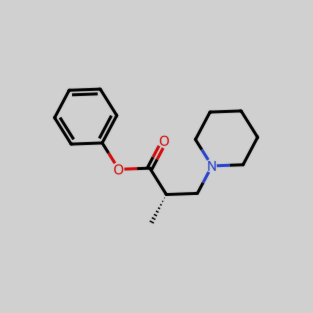 C[C@@H](CN1CCCCC1)C(=O)Oc1ccccc1